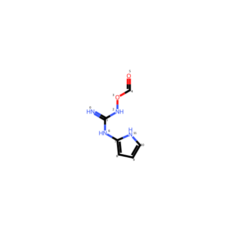 N=C(NOC=O)Nc1ccc[nH]1